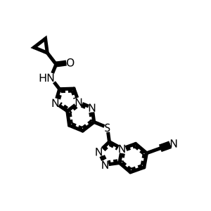 N#Cc1ccc2nnc(Sc3ccc4nc(NC(=O)C5CC5)cn4n3)n2c1